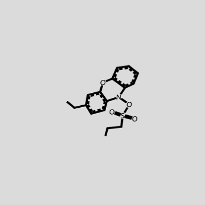 CCCS(=O)(=O)ON1c2ccccc2Oc2cc(CC)ccc21